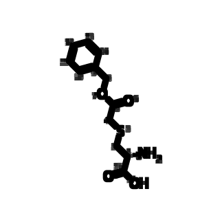 N[C@@H](CSCC(=O)OCc1ccccc1)C(=O)O